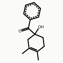 CC1=C(C)CC(O)(C(=O)c2ccccc2)CC1